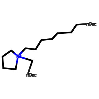 CCCCCCCCCCCCCCCCC[N+]1(CCCCCCCCCCC)CCCC1